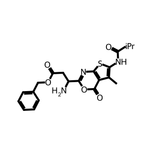 Cc1c(NC(=O)C(C)C)sc2nc(C(N)CC(=O)OCc3ccccc3)oc(=O)c12